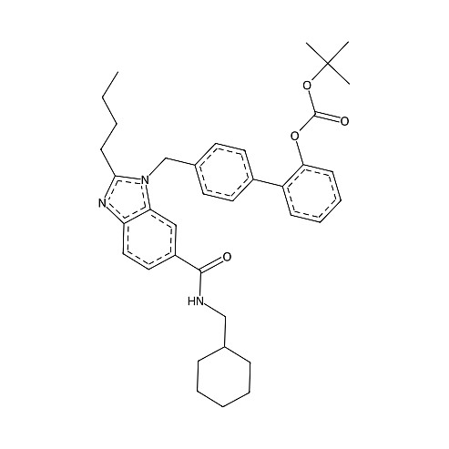 CCCCc1nc2ccc(C(=O)NCC3CCCCC3)cc2n1Cc1ccc(-c2ccccc2OC(=O)OC(C)(C)C)cc1